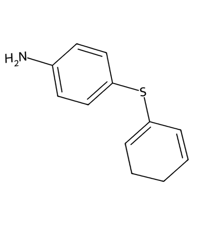 Nc1ccc(SC2=CCCC=C2)cc1